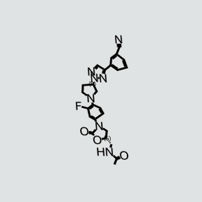 CC(=O)NC[C@H]1CN(c2ccc(N3CC[C@@H](n4ncc(-c5cccc(C#N)c5)n4)C3)c(F)c2)C(=O)O1